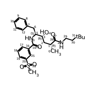 C[C@H](C[C@@H](O)[C@H](Cc1ccccc1)NC(=O)c1cccc(S(C)(=O)=O)c1)C(=O)NCCC(C)(C)C